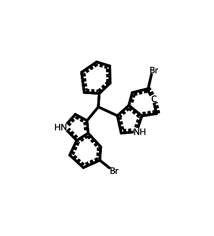 Brc1ccc2[nH]cc(C(c3ccccc3)c3c[nH]c4ccc(Br)cc34)c2c1